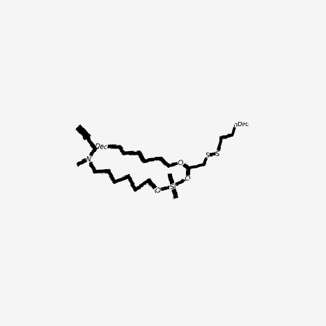 C#CCN(C)CCCCCCO[Si](C)(C)OC(CSSCCCCCCCCCCCC)OCCCCCCCCCCCCCCCC